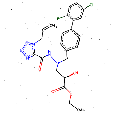 C=CCn1nnnc1C(=O)NN(Cc1ccc(-c2cc(Cl)ccc2F)cc1)C[C@@H](O)C(=O)OCOC(C)=O